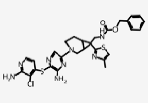 Cc1csc(C2(CNC(=O)OCc3ccccc3)C3CCN(c4cnc(Sc5ccnc(N)c5Cl)c(N)n4)CC32)n1